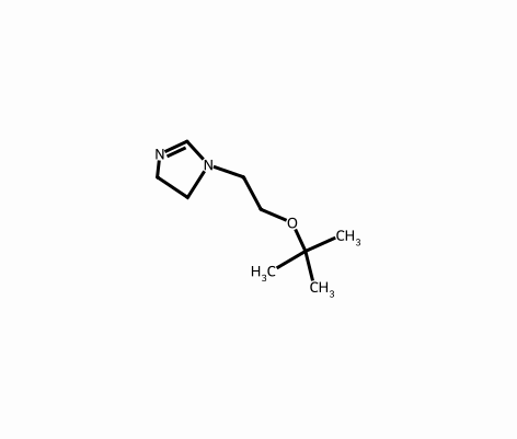 CC(C)(C)OCCN1C=NCC1